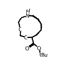 CC(C)(C)OC(=O)C1CCCCCNCCCCC1